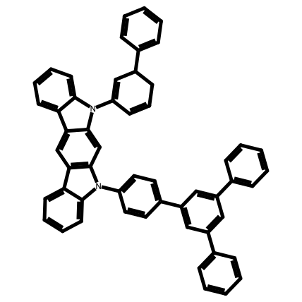 C1=CC(n2c3ccccc3c3cc4c5ccccc5n(-c5ccc(-c6cc(-c7ccccc7)cc(-c7ccccc7)c6)cc5)c4cc32)=CC(c2ccccc2)C1